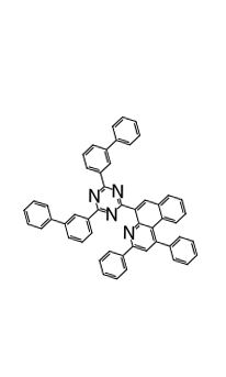 c1ccc(-c2cccc(-c3nc(-c4cccc(-c5ccccc5)c4)nc(-c4cc5ccccc5c5c(-c6ccccc6)cc(-c6ccccc6)nc45)n3)c2)cc1